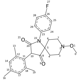 CON1CCC2(CC1)C(=O)C(c1c(C)cc(C)cc1C)C(=O)N2c1ccc(F)cc1